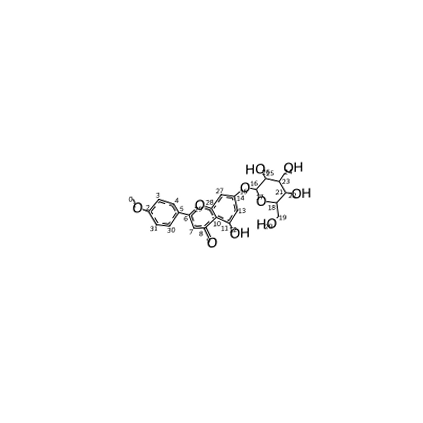 COc1ccc(-c2cc(=O)c3c(O)cc(OC4OC(CO)C(O)C(O)C4O)cc3o2)cc1